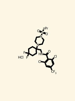 CCCS(=O)(=O)N1CCN(C2(CNC(=O)c3c(Cl)cc(C(F)(F)F)cc3Cl)CCC(F)(F)CC2)CC1.Cl